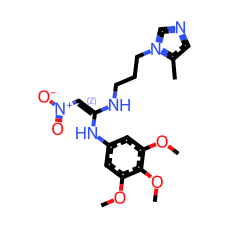 COc1cc(N/C(=C\[N+](=O)[O-])NCCCn2cncc2C)cc(OC)c1OC